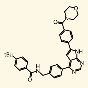 CC(C)(C)c1ccc(C(=O)NCc2ccc(-c3ncnc4[nH]c(-c5ccc(C(=O)N6CCOCC6)cc5)cc34)cc2)cc1